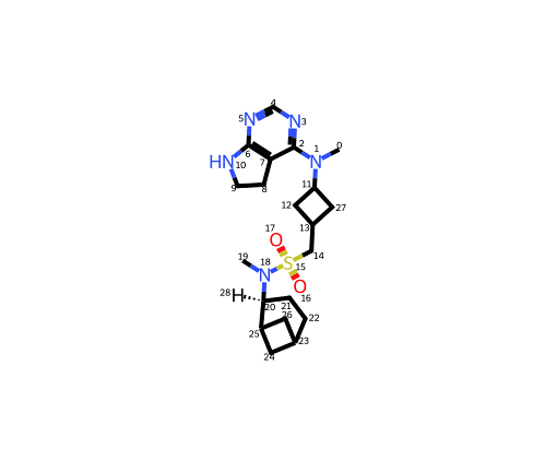 CN(c1ncnc2c1CCN2)C1CC(CS(=O)(=O)N(C)[C@H]2CCC3CC2C3)C1